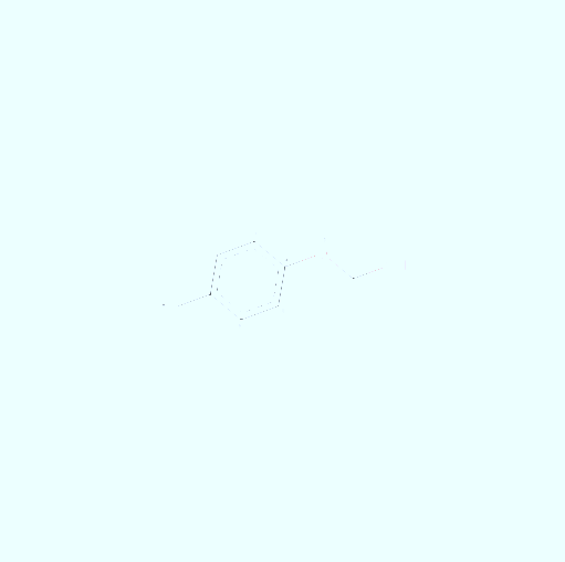 CC(=O)c1ccc(OCO)cc1